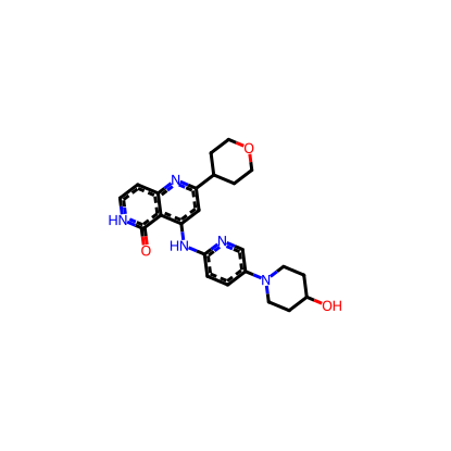 O=c1[nH]ccc2nc(C3CCOCC3)cc(Nc3ccc(N4CCC(O)CC4)cn3)c12